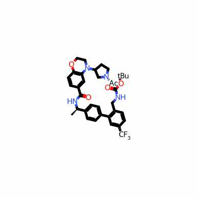 CC(=O)N1CCC(N2CCOc3ccc(C(=O)N[C@H](C)c4ccc(-c5cc(C(F)(F)F)ccc5CNC(=O)OC(C)(C)C)cc4)cc32)C1